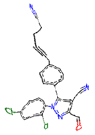 N#CCCC#Cc1ccc(-c2c(C#N)c(C=O)nn2-c2ccc(Cl)cc2Cl)cc1